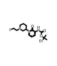 CCC(C)(C)OC(=O)Nc1cccn(C2CCCN(CCF)C2)c1=O